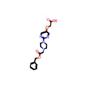 O=C(O)COc1cnc(N2CCN(CC(=O)OCc3ccccc3)CC2)nc1